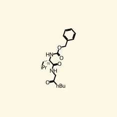 CCCCC(=O)CNC(=O)[C@H](CC(C)C)NC(=O)OCc1ccccc1